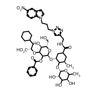 CC1O[C@@H](OC2[C@H](C)CC(C(=O)NCc3cn(CCCn4ccc5cc([N+](=O)[O-])ccc54)nn3)C[C@H]2O[C@@H]2O[C@@H](CO)[C@H](O)C(O[C@@H](CC3CCCCC3)C(=O)O)C2OC(=O)c2ccccc2)[C@@H](O)C(O)[C@@H]1O